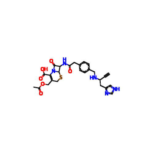 C#CC(Cc1c[nH]cn1)NCc1ccc(CC(=O)NC2C(=O)N3C(C(=O)O)=C(COC(C)=O)CSC23)cc1